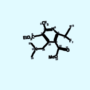 CCOC(=O)c1c(C(F)(F)F)nc(C(F)F)c(C(=O)OC)c1CN(C)C